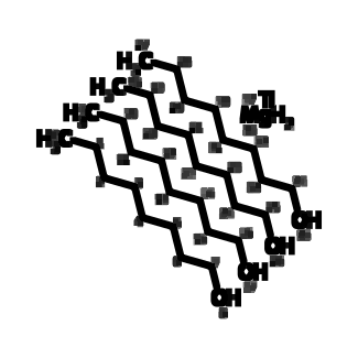 CCCCCCCCO.CCCCCCCCO.CCCCCCCCO.CCCCCCCCO.[MgH2].[Ti]